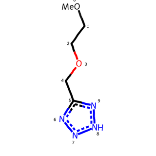 COCCOCc1nn[nH]n1